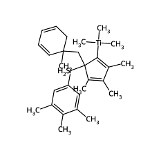 CC1=C(C)C(CC2(C)C=CC=CC2)([SiH2]c2cc(C)c(C)c(C)c2)[C]([Ti]([CH3])([CH3])[CH3])=C1C